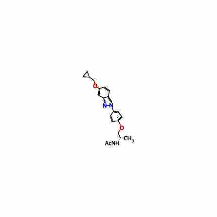 CC(=O)N[C@@H](C)COc1ccc(-n2cc3ccc(OCC4CC4)cc3n2)cc1